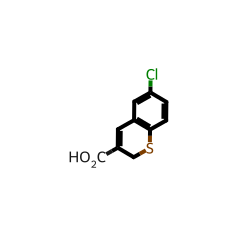 O=C(O)C1=Cc2cc(Cl)ccc2SC1